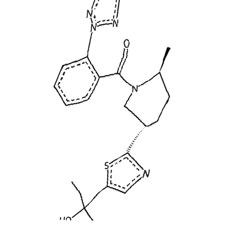 C[C@H]1CC[C@H](c2ncc(C(C)(C)O)s2)CN1C(=O)c1ccccc1-n1nccn1